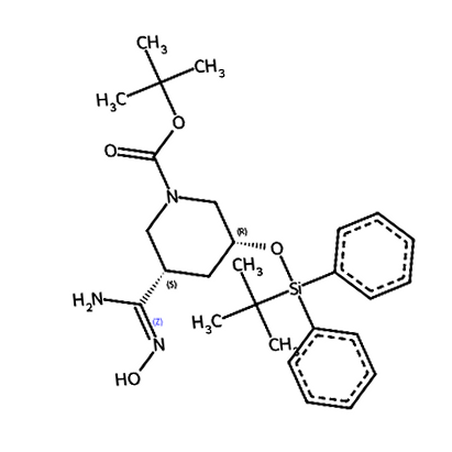 CC(C)(C)OC(=O)N1C[C@H](O[Si](c2ccccc2)(c2ccccc2)C(C)(C)C)C[C@H](/C(N)=N/O)C1